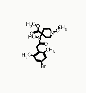 COC(=O)C1(N(O)C(=O)Cc2c(C)cc(Br)cc2C)CCN(OC)CC1